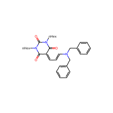 CCCCCCN1C(=O)C(=C/C=C/N(Cc2ccccc2)Cc2ccccc2)C(=O)N(CCCCCC)C1=O